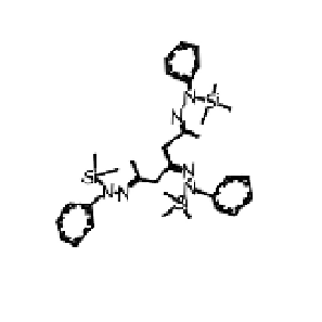 CC(CC(CC(C)=NN(c1ccccc1)[Si](C)(C)C)=NN(c1ccccc1)[Si](C)(C)C)=NN(c1ccccc1)[Si](C)(C)C